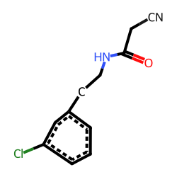 N#CCC(=O)NCCc1cccc(Cl)c1